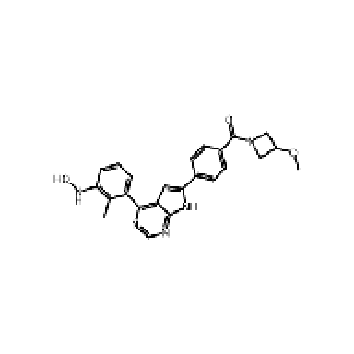 COC1CN(C(=O)c2ccc(-c3cc4c(-c5cccc(NO)c5C)ncnc4[nH]3)cc2)C1